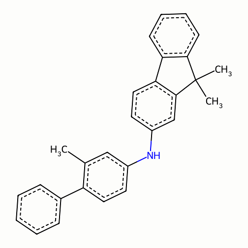 Cc1cc(Nc2ccc3c(c2)C(C)(C)c2ccccc2-3)ccc1-c1ccccc1